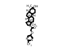 C[C@@]1(O)CC[C@H]2[C@H](CC[C@@H]3[C@@H]2CC[C@]2(C)[C@@H](C(=O)COc4cnc(C(F)(F)F)nc4)CC[C@@H]32)C1